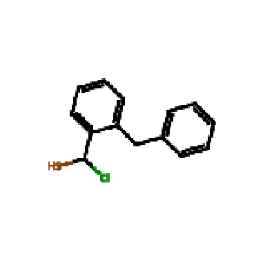 SC(Cl)c1ccccc1Cc1ccccc1